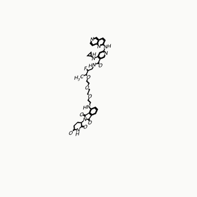 CC(OCCOCCOCCNc1cccc2c1C(=O)N(C1CCC(=O)NC1=O)C2=O)C(F)CNC(=O)c1cnc(Nc2ccc3cnccc3n2)cc1NC1CC1